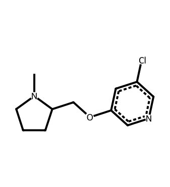 CN1CCCC1COc1cncc(Cl)c1